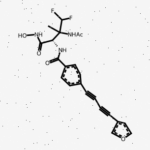 CC(=O)NC(C)(C(F)F)[C@H](NC(=O)c1ccc(C#CC#Cc2ccoc2)cc1)C(=O)NO